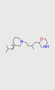 CC(C)C[C@H]1CCCN(CCC(C)CC2CNCCO2)C1